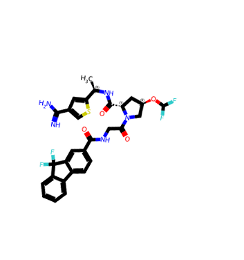 C[C@@H](NC(=O)[C@@H]1C[C@@H](OC(F)F)CN1C(=O)CNC(=O)c1ccc2c(c1)C(F)(F)c1ccccc1-2)c1cc(C(=N)N)cs1